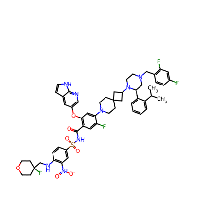 CC(C)c1ccccc1[C@@H]1CN(Cc2ccc(F)cc2F)CCN1C1CC2(CCN(c3cc(Oc4cnc5[nH]ccc5c4)c(C(=O)NS(=O)(=O)c4ccc(NCC5(F)CCOCC5)c([N+](=O)[O-])c4)cc3F)CC2)C1